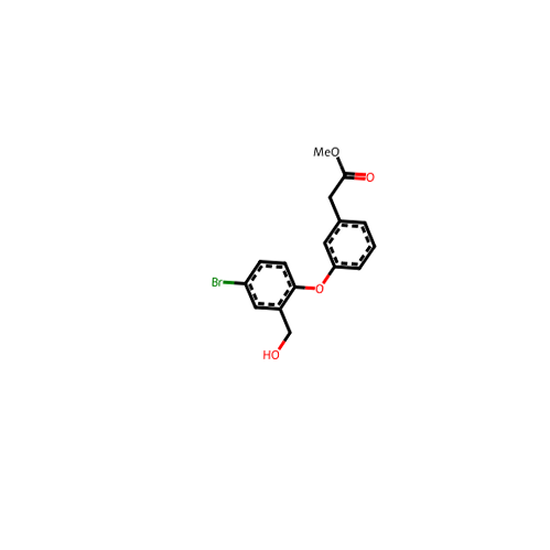 COC(=O)Cc1cccc(Oc2ccc(Br)cc2CO)c1